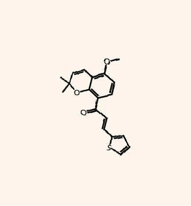 COc1ccc(C(=O)/C=C/c2cccs2)c2c1C=CC(C)(C)O2